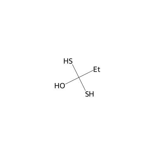 CCC(O)(S)S